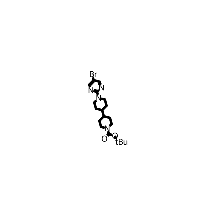 CC(C)(C)OC(=O)N1CCC(C2CCN(c3ncc(Br)cn3)CC2)CC1